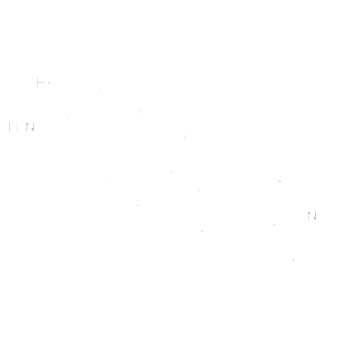 NC1(O)C=CC(C(C2C=CC(N)(O)C=C2)(C(F)(F)F)C(F)(F)F)C=C1